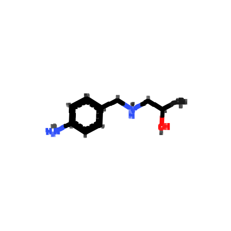 CC(C)(C)C(O)CNCc1ccc(N)cc1